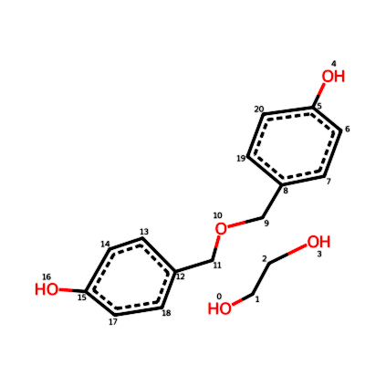 OCCO.Oc1ccc(COCc2ccc(O)cc2)cc1